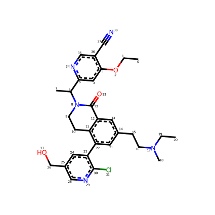 CCOc1cc(C(C)N2CCc3c(cc(CCN(C)CC)cc3-c3cc(CO)cnc3Cl)C2=O)ncc1C#N